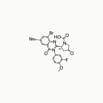 COc1ccc(-n2c([C@@H]3CC(=O)CN3C(=O)O)nc3c(Br)cc(C#N)cc3c2=O)cc1F